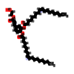 CCCCCCCC/C=C\CCCCCCCC(=O)Oc1ccc(/C=C/C(=O)OCCO)cc1OC(=O)CCCCCCC/C=C\CCCCCCCC